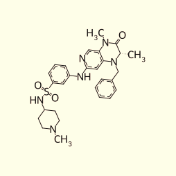 C[C@H]1C(=O)N(C)c2cnc(Nc3cccc(S(=O)(=O)NC4CCN(C)CC4)c3)cc2N1Cc1ccccc1